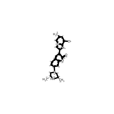 Cc1cc(Cl)c2nc(-c3cc4ccc(N5C[C@@H](C)N[C@@H](C)C5)cc4oc3=O)cn2c1